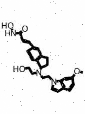 COc1ccc2ccn(CCN(CCO)C3CCc4cc(/C=C/C(=O)NO)ccc43)c2c1